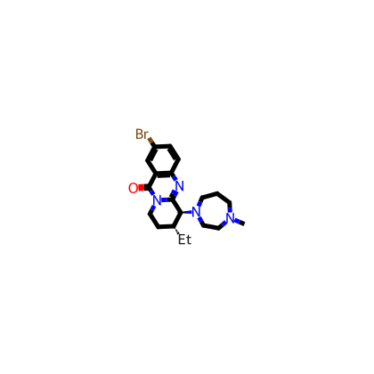 CC[C@@H]1CCn2c(nc3ccc(Br)cc3c2=O)[C@H]1N1CCCN(C)CC1